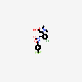 CCN(CC)C(CC(=O)O)c1ccc(Cl)cc1Cn1nc(-c2ccc(C(F)(F)F)cc2)oc1=O